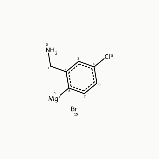 NCc1cc(Cl)cc[c]1[Mg+].[Br-]